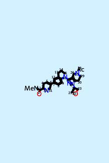 CNC(=O)C1CC=C(c2ccc3c(c2)CCCN3c2nn(C3COC3)c3c2CN(C(C)=O)CC3)C=N1